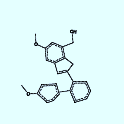 COc1ccc(-c2ccccc2C2=Cc3cc(OC)cc(CO)c3C2)cc1